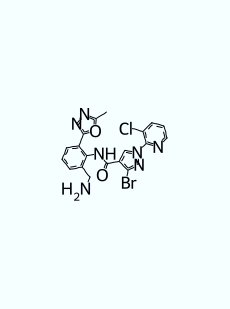 Cc1nnc(-c2cccc(CN)c2NC(=O)c2cn(-c3ncccc3Cl)nc2Br)o1